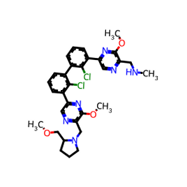 CNCc1ncc(-c2cccc(-c3cccc(-c4cnc(CN5CCCC5COC)c(OC)n4)c3Cl)c2Cl)nc1OC